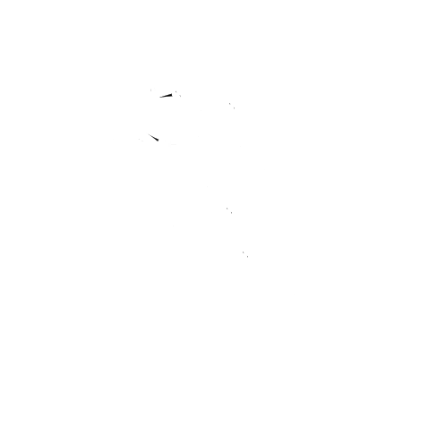 O[C@H]1CCCC[C@H]1Nc1cc(-c2cccc(NCc3cccc(F)c3)n2)c(Cl)cn1